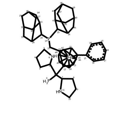 PC(C1CCCN1)(C1CCCN1)[C]12[CH]3[C]4(c5ccccc5)[CH]5[C]1(CP(C1C6CC7CC(C6)CC1C7)C1C6CC7CC(C6)CC1C7)[Fe]53421678[CH]2[CH]1[CH]6[CH]7[CH]28